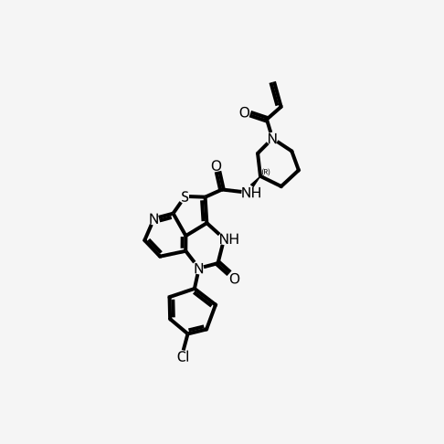 C=CC(=O)N1CCC[C@@H](NC(=O)c2sc3nccc4c3c2NC(=O)N4c2ccc(Cl)cc2)C1